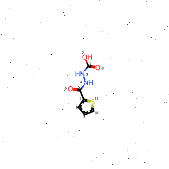 O=C(O)NNC(=O)c1cccs1